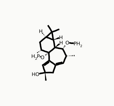 C[C@@H]1C=C2C[C@](C)(O)C=C2[C@]2(OP)[C@@H]([C@@H]1OP)[C@@H]1[C@@H](C[C@H]2C)C1(C)C